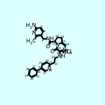 Cc1nc(N)ccc1CNC(=O)C1CCc2cnc(NCCc3ccc(-c4ccccc4)cn3)c(=O)n21.Cl.Cl